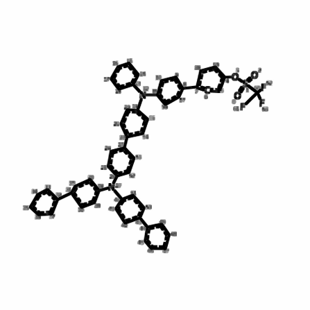 O=S(=O)(Oc1ccc(-c2ccc(N(c3ccccc3)c3ccc(-c4ccc(N(c5ccc(-c6ccccc6)cc5)c5ccc(-c6ccccc6)cc5)cc4)cc3)cc2)cc1)C(F)(F)F